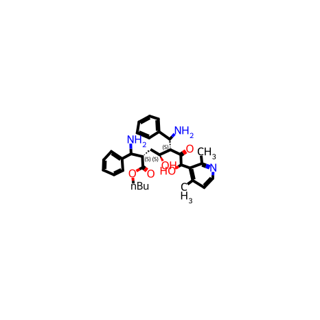 CCCCOC(=O)[C@@H](C[C@H](O)[C@@H](C(=O)C(O)c1c(C)ccnc1C)C(N)c1ccccc1)C(N)c1ccccc1